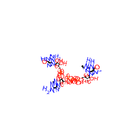 CCNc1nc2c(c(=O)[nH]1)[n+](C)cn2[C@@H]1O[C@H](COP(=O)(O)OP(=O)(O)OP(=O)(O)OC[C@H]2O[C@@H](n3cnc4c(N)ncnc43)[C@H](OC)[C@@H]2OP(=O)([O-])OC[C@H]2O[C@@H](n3cnc4c(=O)[nH]c(N)nc43)[C@H](O)[C@@H]2O)[C@@H](COC)[C@H]1O